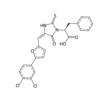 O=C(O)[C@H](Cc1ccccc1)N1C(=O)/C(=C\c2ccc(-c3ccc(Cl)c(Cl)c3)o2)NC1=S